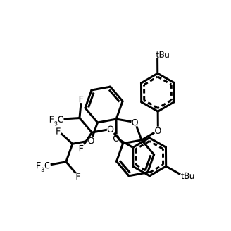 CC(C)(C)c1ccc(OC2(OC3(Oc4ccc(C(C)(C)C)cc4)C=CC=CC3OC(F)C(F)C(F)(F)F)C=CC=CC2OC(F)C(F)C(F)(F)F)cc1